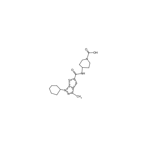 Cc1nn(C2CCCCC2)c2sc(C(=O)NC3CCN(C(=O)O)CC3)cc12